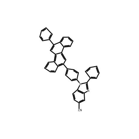 N#Cc1ccc2c(c1)nc(-c1ccccc1)n2-c1ccc(-c2cc3c4ccccc4c(-c4ccccc4)cc3c3ccccc23)cc1